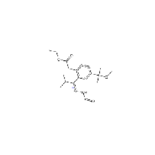 CCOC(=O)Cc1ccc(C(C)(C)OC)cc1/C(=N\NC=O)C(C)C